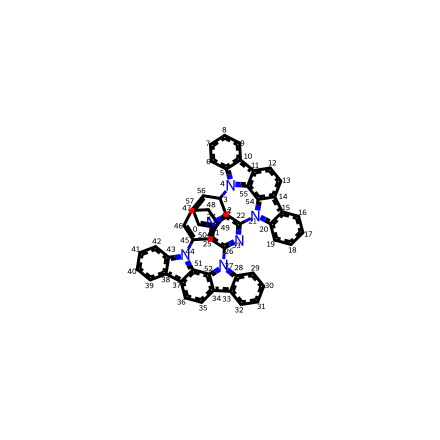 C1=CCC(n2c3ccccc3c3ccc4c5ccccc5n(-c5cncc(-n6c7ccccc7c7ccc8c9ccccc9n(C9=CCCC=C9)c8c76)n5)c4c32)C=C1